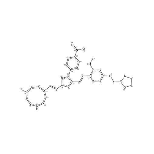 COc1cc(OCC2CCCO2)ccc1/C=C/c1cc(/C=C/c2cc[nH]ccc(C)cc2)nn1-c1ccc([N+](=O)[O-])cc1